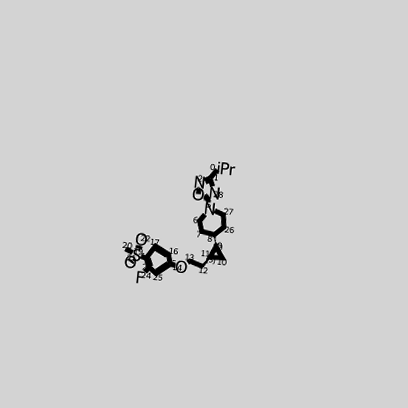 CC(C)c1noc(N2CCC([C@@H]3C[C@H]3CCOc3ccc(S(C)(=O)=O)c(F)c3)CC2)n1